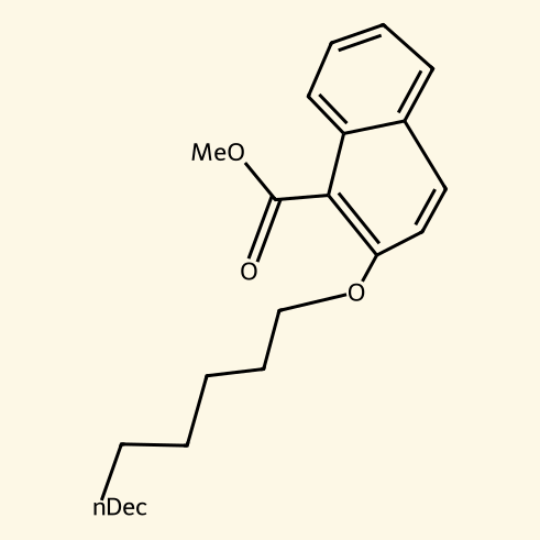 CCCCCCCCCCCCCCCOc1ccc2ccccc2c1C(=O)OC